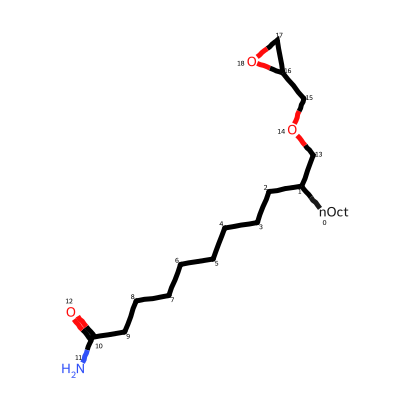 CCCCCCCCC(CCCCCCCCC(N)=O)COCC1CO1